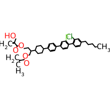 C=C(C)C(=O)OCC(CCOC(=O)C(=C)CO)C1CCC(c2ccc(-c3ccc(-c4ccc(CCCCC)cc4Cl)c(F)c3)cc2)CC1